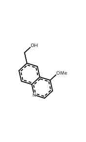 COc1ccnc2ccc(CO)cc12